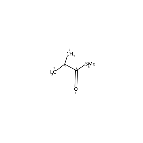 [CH2]SC(=O)C(C)C